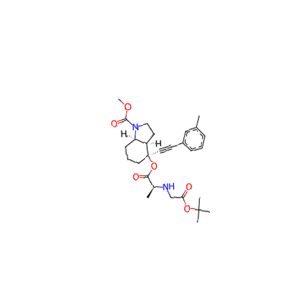 COC(=O)N1CC[C@@H]2[C@H]1CCC[C@]2(C#Cc1cccc(C)c1)OC(=O)[C@H](C)NCC(=O)OC(C)(C)C